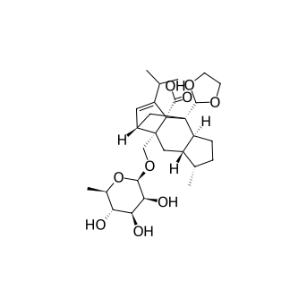 CC(C)C1=C[C@@H]2C[C@@]3(C4OCCO4)[C@H]4CC[C@H](C)[C@@H]4C[C@]2(CO[C@@H]2O[C@H](C)[C@@H](O)[C@H](O)[C@@H]2O)[C@@]13C(=O)O